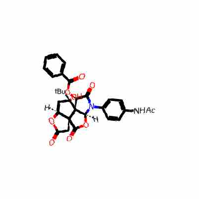 CC(=O)Nc1ccc(N2C(=O)[C@H](OC(=O)c3ccccc3)[C@@]34[C@@H]2OC(=O)[C@@]32CC(=O)O[C@H]2C[C@@]4(O)C(C)(C)C)cc1